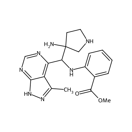 COC(=O)c1ccccc1NC(c1ncnc2[nH]nc(C)c12)C1(N)CCNC1